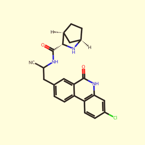 N#CC(Cc1ccc2c(c1)c(=O)[nH]c1cc(Cl)ccc12)NC(=O)[C@H]1N[C@@H]2CC[C@H]1C2